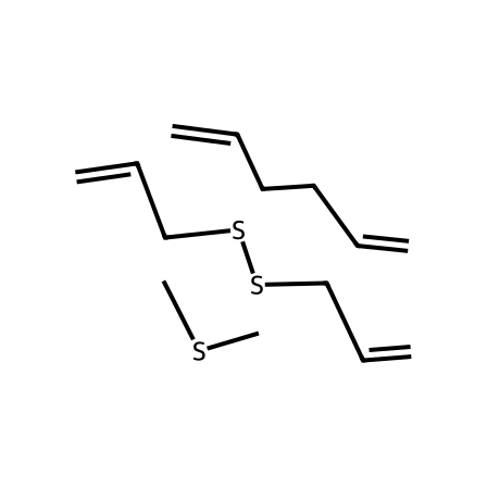 C=CCCC=C.C=CCSSCC=C.CSC